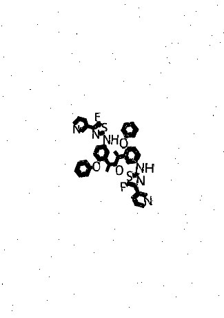 CC(C(=O)C(C)c1cc(Nc2nc(-c3cccnc3)c(F)s2)ccc1Oc1ccccc1)c1cc(Nc2nc(-c3cccnc3)c(F)s2)ccc1Oc1ccccc1